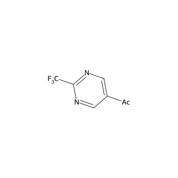 CC(=O)c1cnc(C(F)(F)F)nc1